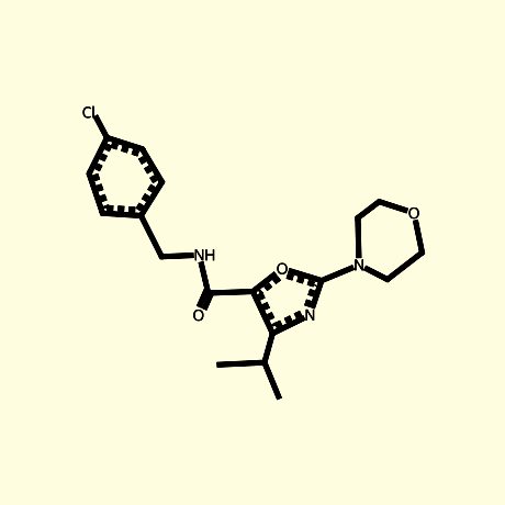 CC(C)c1nc(N2CCOCC2)oc1C(=O)NCc1ccc(Cl)cc1